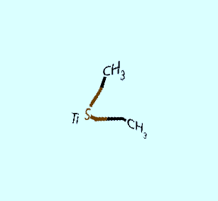 CSC.[Ti]